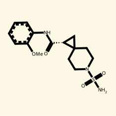 COc1ccccc1NC(=O)[C@@H]1CC12CCN(S(N)(=O)=O)CC2